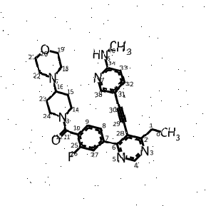 CCc1ncnc(-c2ccc(C(=O)N3CCC(N4CCOCC4)CC3)c(F)c2)c1C#Cc1ccc(NC)nc1